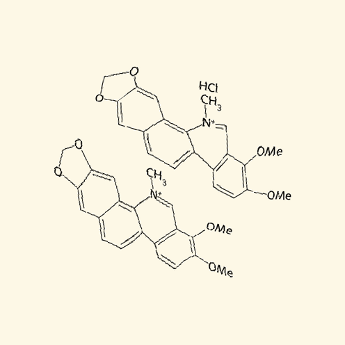 COc1ccc2c(c[n+](C)c3c4cc5c(cc4ccc23)OCO5)c1OC.COc1ccc2c(c[n+](C)c3c4cc5c(cc4ccc23)OCO5)c1OC.Cl